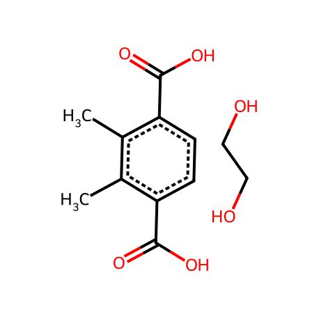 Cc1c(C(=O)O)ccc(C(=O)O)c1C.OCCO